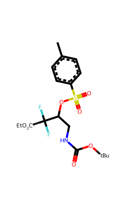 CCOC(=O)C(F)(F)C(CNC(=O)OC(C)(C)C)OS(=O)(=O)c1ccc(C)cc1